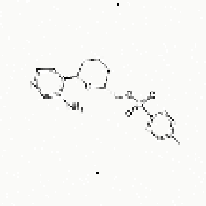 Cc1ccc(S(=O)(=O)OC[C@H]2[CH][CH]C[C@H](c3ccncc3N)O2)cc1